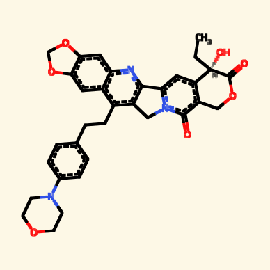 CC[C@@]1(O)C(=O)OCc2c1cc1n(c2=O)Cc2c-1nc1cc3c(cc1c2CCc1ccc(N2CCOCC2)cc1)OCO3